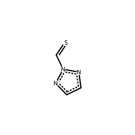 S=Cn1nccn1